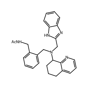 CC(=O)NCc1ccccc1CN(Cc1nc2ccccc2[nH]1)C1CCCc2cccnc21